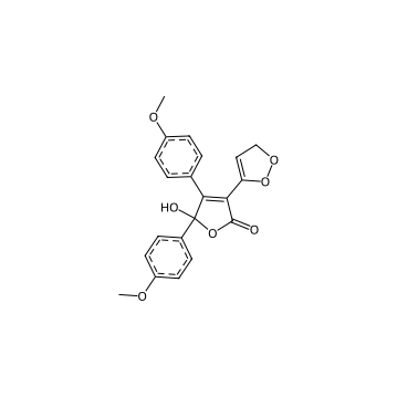 COc1ccc(C2=C(C3=CCOO3)C(=O)OC2(O)c2ccc(OC)cc2)cc1